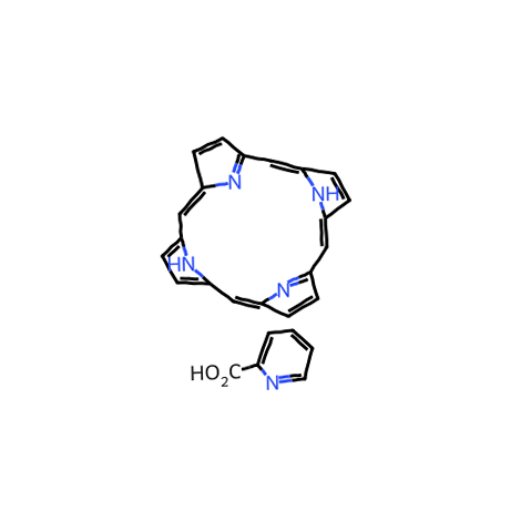 C1=Cc2cc3ccc(cc4nc(cc5ccc(cc1n2)[nH]5)C=C4)[nH]3.O=C(O)c1ccccn1